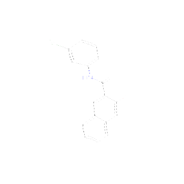 C=C(Nc1cccc(Br)c1)c1cc2ccccc2cc1O